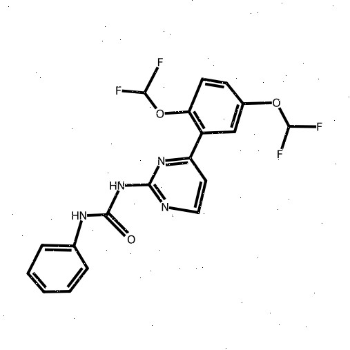 O=C(Nc1ccccc1)Nc1nccc(-c2cc(OC(F)F)ccc2OC(F)F)n1